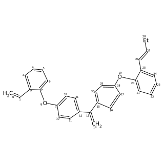 C=Cc1ccccc1Oc1ccc(C(=C)c2ccc(Oc3ccccc3/C=C/CC)cc2)cc1